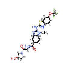 Cn1c(Nc2nc3ccc(OC(F)(F)F)cc3s2)nc2cc(C(=O)NCC(=O)N3CC[C@@H](O)C3)ccc21